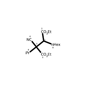 CCCCCCC(C(=O)OCC)C(C#N)(C(=O)OCC)C(C)C